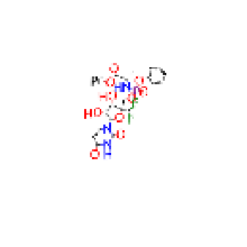 CC(C)OC(=O)[C@H](C)N[P@](=O)(OC[C@@]1(C(F)F)O[C@@H](n2ccc(=O)[nH]c2=O)[C@H](O)[C@@H]1O)Oc1ccccc1